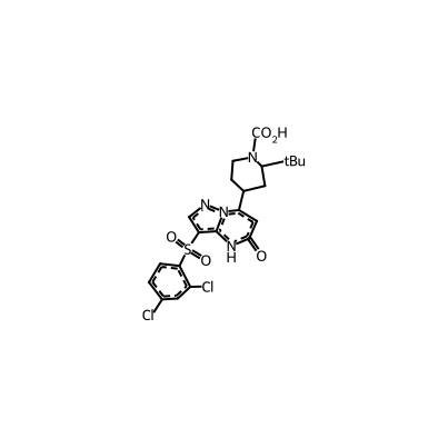 CC(C)(C)C1CC(c2cc(=O)[nH]c3c(S(=O)(=O)c4ccc(Cl)cc4Cl)cnn23)CCN1C(=O)O